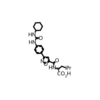 CC(C)C[C@H](NC(=O)c1cc(-c2ccc(NC(=O)NC3CCCCC3)cc2)no1)C(=O)O